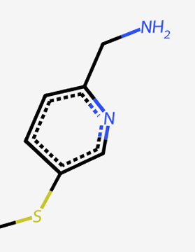 CSc1ccc(CN)nc1